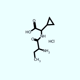 CCC(N)C(=O)NC(C(=O)O)C1CC1.Cl